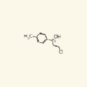 Cc1ccc([C@@H](O)CCCl)cc1